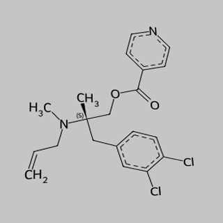 C=CCN(C)[C@](C)(COC(=O)c1ccncc1)Cc1ccc(Cl)c(Cl)c1